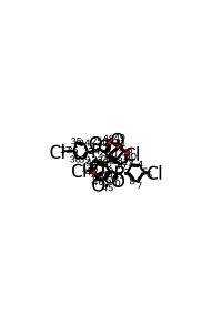 O=P(c1ccc(Cl)cc1)(c1ccc(Cl)cc1)c1ccc2c(c1-c1c(P(=O)(c3ccc(Cl)cc3)c3ccc(Cl)cc3)ccc3c1OCO3)OCO2